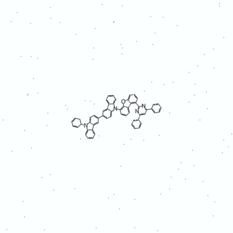 C1=CCC(n2c3ccccc3c3cc(-c4ccc5c(c4)c4ccccc4n5-c4cccc5c4oc4cccc(-c6nc(-c7ccccc7)cc(-c7ccccc7)n6)c45)ccc32)C=C1